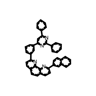 c1ccc(-c2cc(-c3cccc(-c4ccc5ccc6ccc(-c7ccc8ccccc8c7)nc6c5n4)c3)nc(-c3ccccc3)n2)cc1